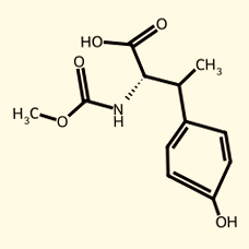 COC(=O)N[C@H](C(=O)O)C(C)c1ccc(O)cc1